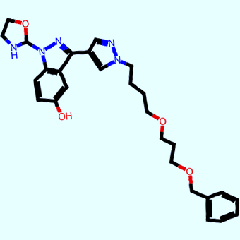 Oc1ccc2c(c1)c(-c1cnn(CCCCOCCCOCc3ccccc3)c1)nn2C1NCCO1